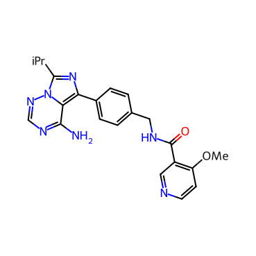 COc1ccncc1C(=O)NCc1ccc(-c2nc(C(C)C)n3ncnc(N)c23)cc1